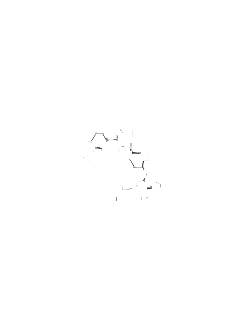 COc1cccc(C(O)COc2ccc(CC(OCCF)C(=O)O)cc2)c1